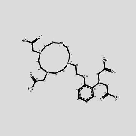 O=C(O)CN1CCNCCN(CCOc2ccccc2N(CC(=O)O)CC(=O)O)CCN(CC(=O)O)CC1